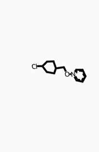 ClC1CCC(CO[n+]2ccccc2)CC1